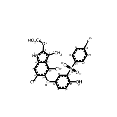 Cc1c(OC(=O)O)[nH]c2cc(Cl)c(Oc3ccc(O)c(S(=O)(=O)c4ccc(F)cc4)c3)c(Cl)c12